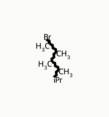 C/C(=C\CBr)CCCC(C)CCCC(C)CCCC(C)CCCC(C)C